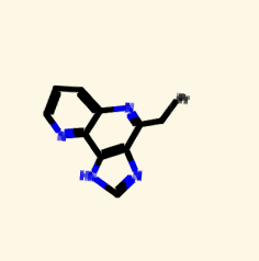 CC(C)Cc1nc2cccnc2c2[nH]cnc12